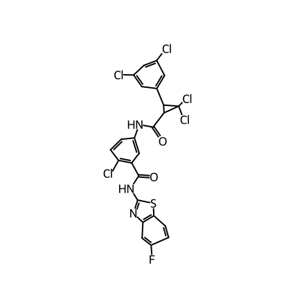 O=C(Nc1nc2cc(F)ccc2s1)c1cc(NC(=O)C2C(c3cc(Cl)cc(Cl)c3)C2(Cl)Cl)ccc1Cl